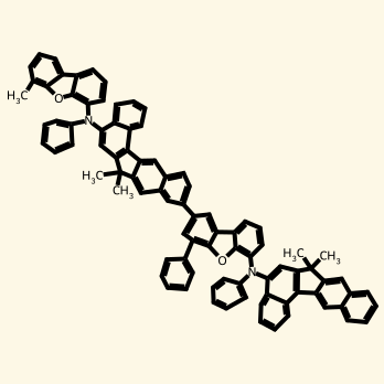 Cc1cccc2c1oc1c(N(c3ccccc3)c3cc4c(c5ccccc35)-c3cc5ccc(-c6cc(-c7ccccc7)c7oc8c(N(c9ccccc9)c9cc%10c(c%11ccccc9%11)-c9cc%11ccccc%11cc9C%10(C)C)cccc8c7c6)cc5cc3C4(C)C)cccc12